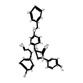 O=CCC(c1ccc(F)cc1)[C@@]1(c2ccc(OCc3ccccc3)cc2)CN(c2ccc(F)cc2)C1=O